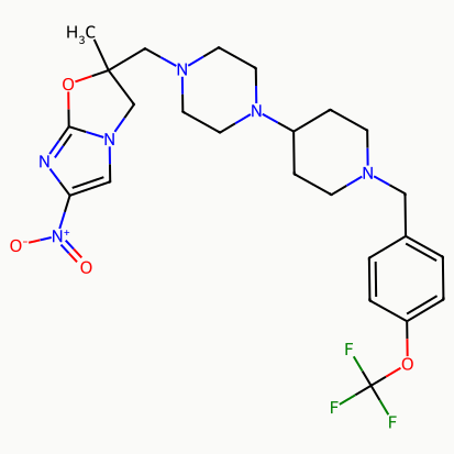 CC1(CN2CCN(C3CCN(Cc4ccc(OC(F)(F)F)cc4)CC3)CC2)Cn2cc([N+](=O)[O-])nc2O1